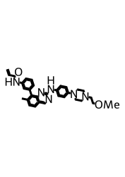 C=CC(=O)Nc1cccc(-c2c(C)ccc3cnc(Nc4ccc(N5CCN(CCOC)CC5)cc4)nc23)c1